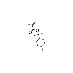 C=C(C)C(=O)OC(C)(C)C1CC=C(C)CC1